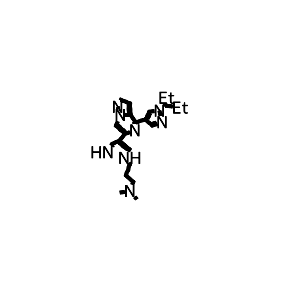 CCC(CC)n1cc(-c2nc(/C(C=N)=C/NCCCN(C)C)cn3nccc23)cn1